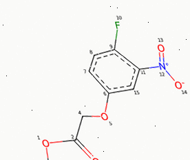 COC(=O)COc1ccc(F)c([N+](=O)[O-])c1